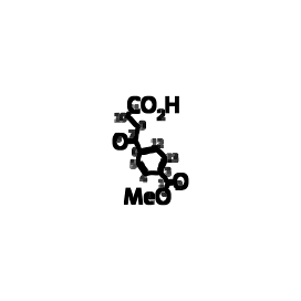 COC(=O)c1ccc(C(=O)CCC(=O)O)cc1